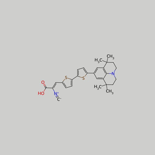 [C-]#[N+]/C(=C\c1ccc(-c2ccc(-c3cc4c5c(c3)C(C)(C)CCN5CCC4(C)C)s2)s1)C(=O)O